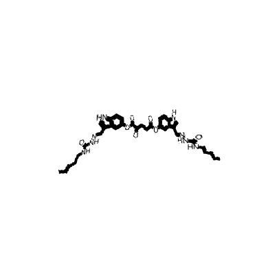 CCCCCNC(=O)N/N=C/c1c[nH]c2ccc(OC(=O)CCC(=O)C(=O)Oc3ccc4[nH]cc(/C=N/NC(=O)NCCCCC)c4c3)cc12